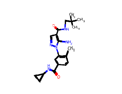 Cc1ccc(C(=O)NC2CC2)cc1-n1ncc(C(=O)NCC(C)(C)C)c1N